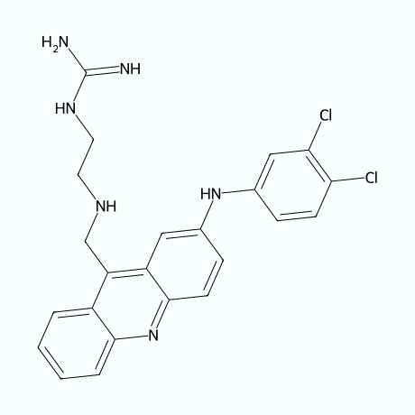 N=C(N)NCCNCc1c2ccccc2nc2ccc(Nc3ccc(Cl)c(Cl)c3)cc12